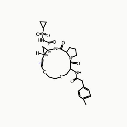 Cc1ccc(CC(=O)NC2CCCCC/C=C\[C@@H]3C[C@@]3(C(=O)NS(=O)(=O)C3CC3)NC(=O)C3CCCN3C2=O)cc1